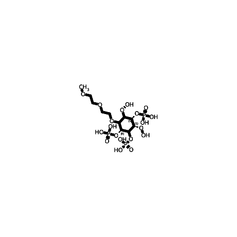 COCCOCCOC1C(OO)[C@H](OP(=O)(O)O)[C@H](OO)C(OP(=O)(O)O)[C@@H]1OP(=O)(O)O